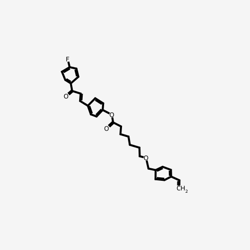 C=Cc1ccc(COCCCCCCC(=O)Oc2ccc(C=CC(=O)c3ccc(F)cc3)cc2)cc1